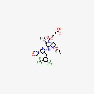 CC[C@@H]1C[C@H](Nc2ncc(N3CCOCC3)cc2Cc2cc(C(F)(F)F)cc(C(F)(F)F)c2)c2nc(OC)ccc2N1C(=O)OCCCC(=O)O